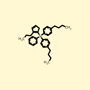 CCCCc1ccc([Si](C2=C(CCC)C=CC2)(c2ccccc2)c2ccc(CCCC)cc2)cc1